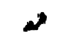 CS(=O)(=O)N1CCC(C(=O)N[C@@H](COCc2ccc(C(=O)NCCOCCOCCNC(=O)COc3cccc4c3C(=O)N(C3CCC(=O)NC3=O)C4=O)cc2)C(=O)NC2NC(c3ccccc3)CS2)C1